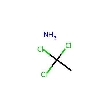 CC(Cl)(Cl)Cl.N